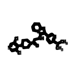 CN(C)c1ccc(-c2nc3ccccn3c2NCC(=O)N2CCN(c3c(Cl)cncc3Cl)CC2)cn1